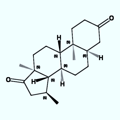 C[C@H]1CC(=O)[C@@]2(C)CC[C@H]3[C@@H](CC[C@@H]4CC(=O)CC[C@@]43C)[C@H]12